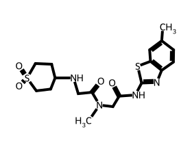 Cc1ccc2nc(NC(=O)CN(C)C(=O)CNC3CCS(=O)(=O)CC3)sc2c1